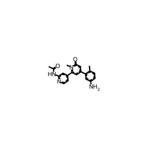 CC(=O)Nc1cc(-c2cc(-c3cc(N)ccc3C)cc(=O)n2C)ccn1